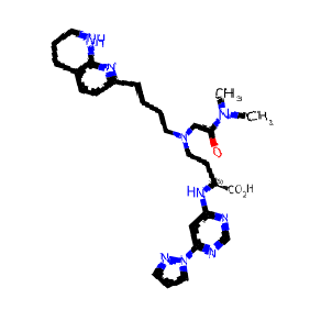 CN(C)C(=O)CN(CCCCc1ccc2c(n1)NCCC2)CC[C@H](Nc1cc(-n2cccn2)ncn1)C(=O)O